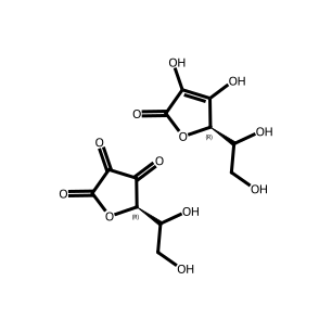 O=C1O[C@H](C(O)CO)C(=O)C1=O.O=C1O[C@H](C(O)CO)C(O)=C1O